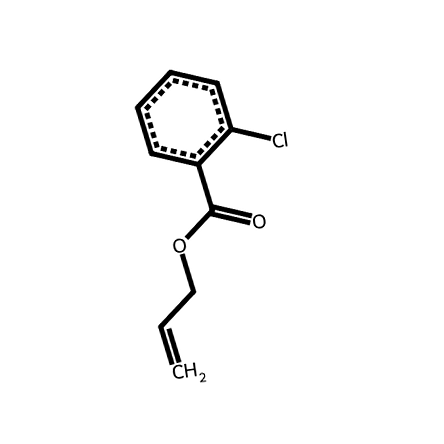 C=CCOC(=O)c1ccccc1Cl